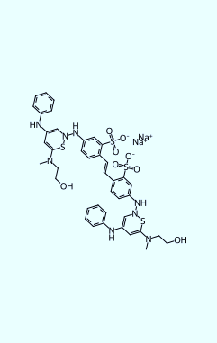 CN(CCO)C1=CC(Nc2ccccc2)=CN(Nc2ccc(C=Cc3ccc(NN4C=C(Nc5ccccc5)C=C(N(C)CCO)S4)cc3S(=O)(=O)[O-])c(S(=O)(=O)[O-])c2)S1.[Na+].[Na+]